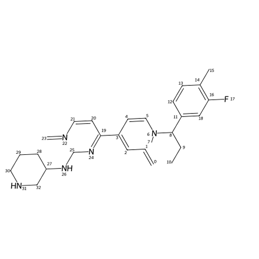 C=C/C=C(\C=C/N(C)C(CC)c1ccc(C)c(F)c1)C(/C=C\N=C)=N/CNC1CCCNC1